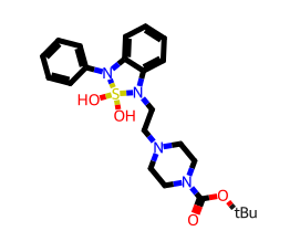 CC(C)(C)OC(=O)N1CCN(CCN2c3ccccc3N(c3ccccc3)S2(O)O)CC1